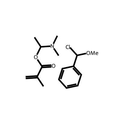 C=C(C)C(=O)OC(C)N(C)C.COC(Cl)c1ccccc1